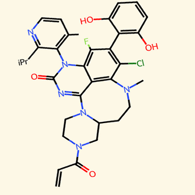 C=CC(=O)N1CCN2c3nc(=O)n(-c4c(C)ccnc4C(C)C)c4c(F)c(-c5c(O)cccc5O)c(Cl)c(c34)N(C)CCC2C1